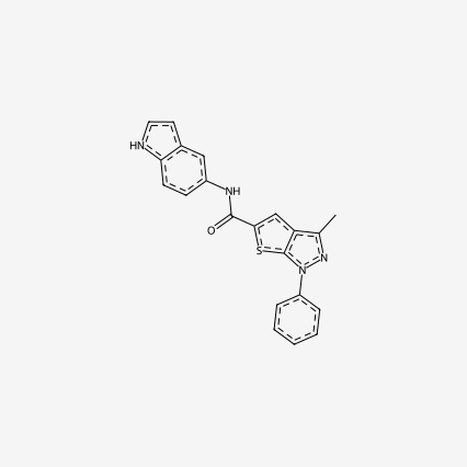 Cc1nn(-c2ccccc2)c2sc(C(=O)Nc3ccc4[nH]ccc4c3)cc12